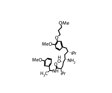 COCCCOc1cc(C[C@@H](C[C@H](N)[C@@H](O)C[C@H](C(=O)N[C@@H](C)c2cccc(OC)c2)C(C)C)C(C)C)ccc1OC